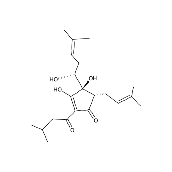 CC(C)=CC[C@@H](O)[C@@]1(O)C(O)=C(C(=O)CC(C)C)C(=O)[C@H]1CC=C(C)C